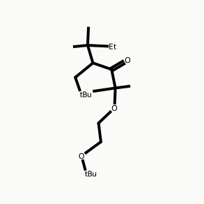 CCC(C)(C)C(CC(C)(C)C)C(=O)C(C)(C)OCCOC(C)(C)C